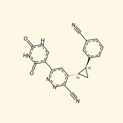 N#Cc1cccc([C@H]2C[C@@H]2c2cc(-c3c[nH]c(=O)[nH]c3=O)nnc2C#N)c1